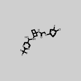 O=C(COc1ccc(Cl)c(F)c1)NC12CCC1C(NC(O)c1cnc(C(F)(F)F)nc1)C2